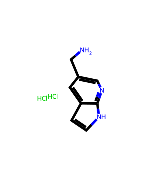 Cl.Cl.NCc1cnc2[nH]ccc2c1